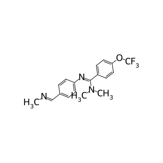 C/N=C/c1ccc(/N=C(/c2ccc(OC(F)(F)F)cc2)N(C)C)cc1